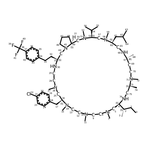 CC[C@H](C)[C@H]1CN(C)CCN(C)CCN(C)[C@@H](Cc2ccc(Cl)cc2)CN(C)CCN[C@@H](CCc2ccc(C(F)(F)F)cc2)CN2CCC[C@H]2CN(C)[C@@H](C(C)C)CN(C)[C@@H](CC(C)C)CN[C@H](C)CCN(C)[C@@H](C)CN1